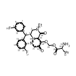 CCN1C[C@H](C(c2cccc(F)c2)c2cccc(F)c2)n2ncc(=O)c(OCOC(=O)[C@@H](N)C(C)C)c2C1=O